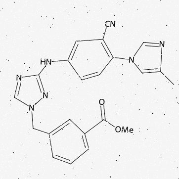 COC(=O)c1cccc(Cn2cnc(Nc3ccc(-n4cnc(C)c4)c(C#N)c3)n2)c1